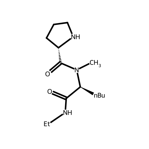 CCCC[C@@H](C(=O)NCC)N(C)C(=O)[C@@H]1CCCN1